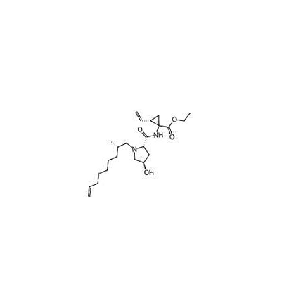 C=CCCCCC[C@H](C)CN1C[C@H](O)C[C@H]1C(=O)N[C@]1(C(=O)OCC)C[C@H]1C=C